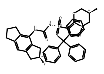 C[C@@H]1COc2c([S@](=O)(=NC(c3ccccc3)(c3ccccc3)c3ccccc3)NC(=O)Nc3c4c(cc5c3C[C@@H](F)C5)CCC4)cnn2C1